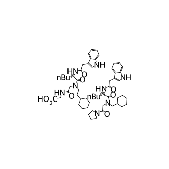 CCCC[C@H](NC(=O)Cc1c[nH]c2ccccc12)C(=O)N(CC(=O)N1CCCC1)CC1CCCCC1.CCCC[C@H](NC(=O)Cc1c[nH]c2ccccc12)C(=O)N(CCC1CCCCC1)CC(=O)NCC(=O)O